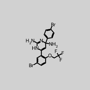 NC1=NC(N)(c2ccc(Br)cc2)C=C(c2cc(Br)ccc2OCC(F)(F)F)N1